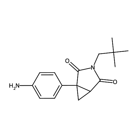 CC(C)(C)CN1C(=O)C2CC2(c2ccc(N)cc2)C1=O